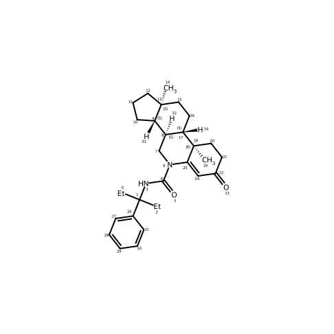 CCC(CC)(NC(=O)N1C[C@H]2[C@@H]3CCC[C@@]3(C)CC[C@@H]2[C@@]2(C)CCC(=O)C=C12)c1ccccc1